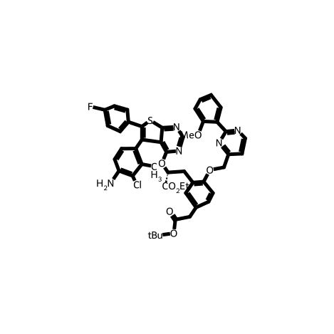 CCOC(=O)[C@@H](Cc1cc(CC(=O)OC(C)(C)C)ccc1OCc1ccnc(-c2ccccc2OC)n1)Oc1ncnc2sc(-c3ccc(F)cc3)c(-c3ccc(N)c(Cl)c3C)c12